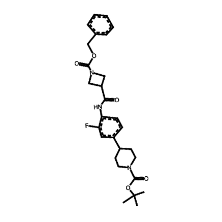 CC(C)(C)OC(=O)N1CCC(c2ccc(NC(=O)C3CN(C(=O)OCc4ccccc4)C3)c(F)c2)CC1